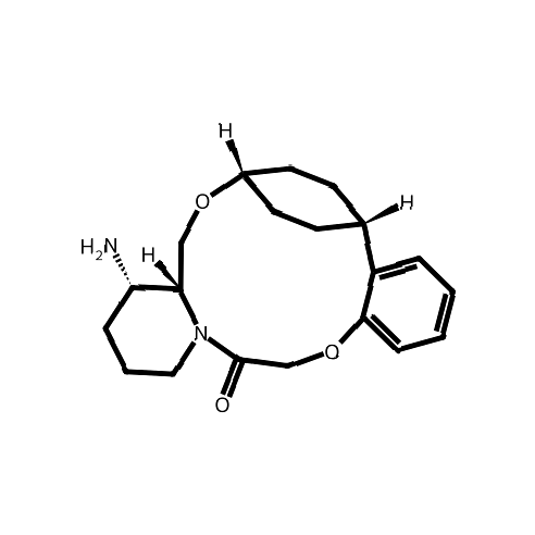 N[C@H]1CCCN2C(=O)COc3ccccc3[C@H]3CC[C@H](CC3)OC[C@@H]12